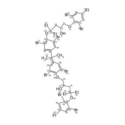 CCc1cc(Br)c(OCC(O)CC(CC)(CC)Oc2c(Br)cc(C(C)(C)c3cc(Br)c(OCC(O)CC(CC)(CC)Oc4c(Br)cc(CC)cc4Br)c(Br)c3)cc2Br)c(Br)c1